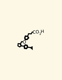 O=C(O)CCCc1ccc(OCC2=C(c3ccc(C4CC4)cc3)CCC2)cc1